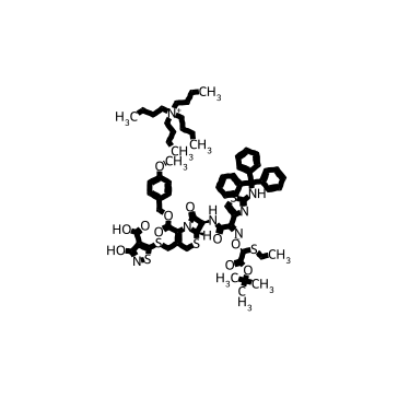 CCCC[N+](CCCC)(CCCC)CCCC.CCS[C@@H](O/N=C(\C(=O)N[C@@H]1C(=O)N2C(C(=O)OCc3ccc(OC)cc3)=C(CSc3snc(O)c3C(=O)O)CS[C@@H]12)c1csc(NC(c2ccccc2)(c2ccccc2)c2ccccc2)n1)C(=O)OC(C)(C)C